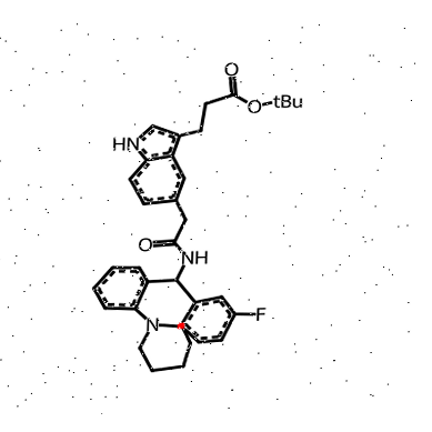 CC(C)(C)OC(=O)CCc1c[nH]c2ccc(CC(=O)NC(c3cccc(F)c3)c3ccccc3N3CCCCC3)cc12